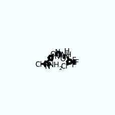 Nc1ncc(Cl)cc1-c1ccc(Oc2ncc(NC(=O)Nc3cc(Cl)cc(C(F)(F)F)c3)cn2)cc1